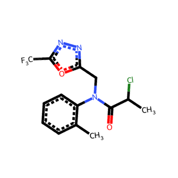 Cc1ccccc1N(Cc1nnc(C(F)(F)F)o1)C(=O)C(C)Cl